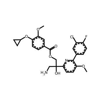 COc1cc(C(=O)OCC(O)(CN)c2ccc(OC)c(-c3ccc(F)c(Cl)c3)n2)ccc1OC1CC1